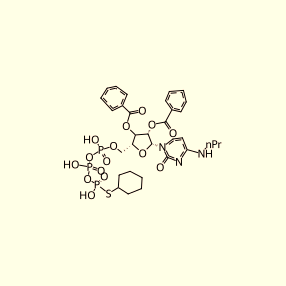 CCCNc1ccn([C@@H]2O[C@H](COP(=O)(O)OP(=O)(O)OP(=O)(O)SC3CCCCC3)C(OC(=O)c3ccccc3)[C@@H]2OC(=O)c2ccccc2)c(=O)n1